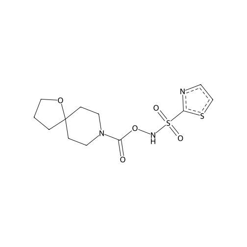 O=C(ONS(=O)(=O)c1nccs1)N1CCC2(CCCO2)CC1